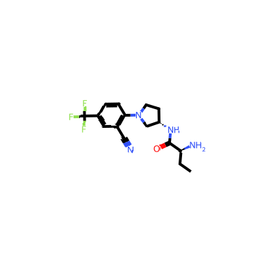 CC[C@H](N)C(=O)N[C@H]1CCN(c2ccc(C(F)(F)F)cc2C#N)C1